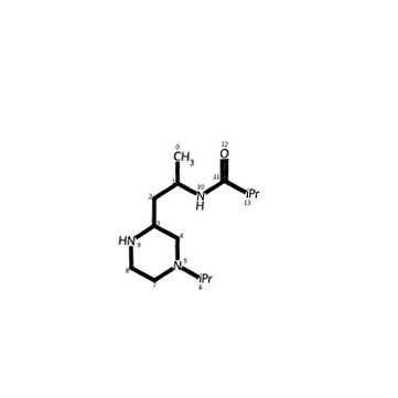 CC(CC1CN(C(C)C)CCN1)NC(=O)C(C)C